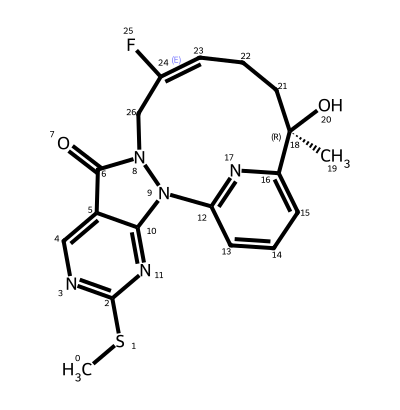 CSc1ncc2c(=O)n3n(c2n1)-c1cccc(n1)[C@](C)(O)CC/C=C(/F)C3